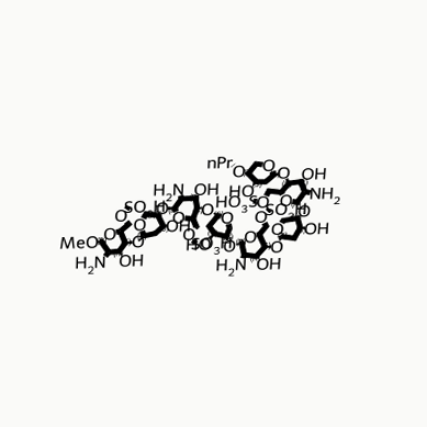 CCCO[C@@H]1CO[C@@H](O[C@@H]2C(COS(=O)(=O)O)O[C@@H](O[C@H]3CO[C@@H](O[C@@H]4C(COS(=O)(=O)O)O[C@@H](O[C@@H]5CO[C@@H](O[C@@H]6C(COS(=O)(=O)O)O[C@@H](O[C@H]7CO[C@@H](O[C@@H]8C(COS(=O)(=O)O)O[C@@H](OC)C(N)[C@H]8O)C[C@@H]7O)C(N)[C@H]6O)C[C@@H]5O)C(N)[C@H]4O)C[C@@H]3O)C(N)[C@H]2O)C[C@@H]1O